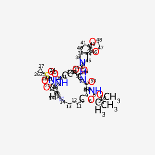 CC(C)(C)OC(=O)N[C@H]1CCCCC/C=C\[C@@H]2C[C@@]2(C(=O)NS(=O)(=O)C2CC2)NC(=O)CC[C@@H](OC(=O)N2Cc3ccc4c(c3C2)OCCO4)CNC1=O